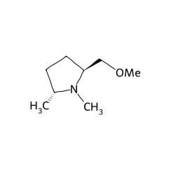 COC[C@@H]1CC[C@@H](C)N1C